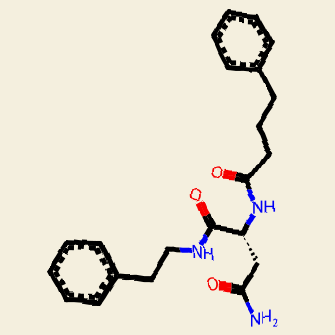 NC(=O)C[C@@H](NC(=O)CCCc1ccccc1)C(=O)NCCc1ccccc1